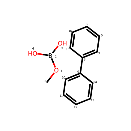 COB(O)O.c1ccc(-c2ccccc2)cc1